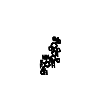 COc1nc2c(=O)[nH]nc(N[C@H](C)c3cccc(C(F)(F)CO)c3F)c2cc1C1(OC)CCC(S(C)(=O)=O)CC1